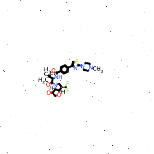 CCC(C)(C)C(NC(=O)c1ccc(-c2csc(N3CCN(C)CC3)n2)cc1)C(=O)N1C[C@@H](C(F)F)[C@H]2OCC(=O)[C@H]21